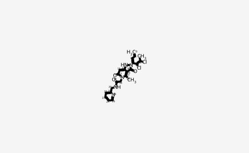 C=C/C=C(\C(Cl)=C(/C)Cl)n1[nH]c2cc(=O)n(CC(=O)NCc3ccccn3)c(C)c2c1=O